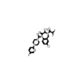 CC1c2nnc(N3CCN(c4ccc(F)cn4)CC3)n2-c2ccc(Cl)cc2CN1C(=O)C(F)F